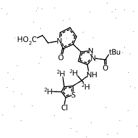 [2H]c1c(Cl)sc(C([2H])([2H])Nc2cc(-c3cccn(CCC(=O)O)c3=O)nn2C(=O)C(C)(C)C)c1[2H]